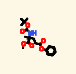 COC(=O)[C@](C)(CCC(=O)Oc1ccccc1)NC(=O)OC(C)(C)C